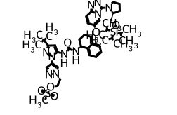 CC(C)[Si](OC[C@@H]1CCCN1c1nnc2ccc(O[C@@H]3CC[C@H](NC(=O)Nc4cc(C(C)(C)C)nn4-c4cnn(CCOS(C)(=O)=O)c4)c4ccccc43)cn12)(C(C)C)C(C)C